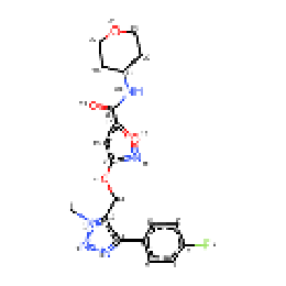 Cn1nnc(-c2ccc(F)cc2)c1COc1cc(C(=O)NC2CCOCC2)on1